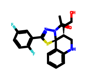 CC(=O)N1N=C(c2cc(F)ccc2F)S[C@@]12c1ccccc1NC[C@H]2CCO